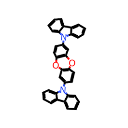 c1ccc2c(c1)c1ccccc1n2-c1ccc2c(c1)Oc1ccc(-n3c4ccccc4c4ccccc43)cc1O2